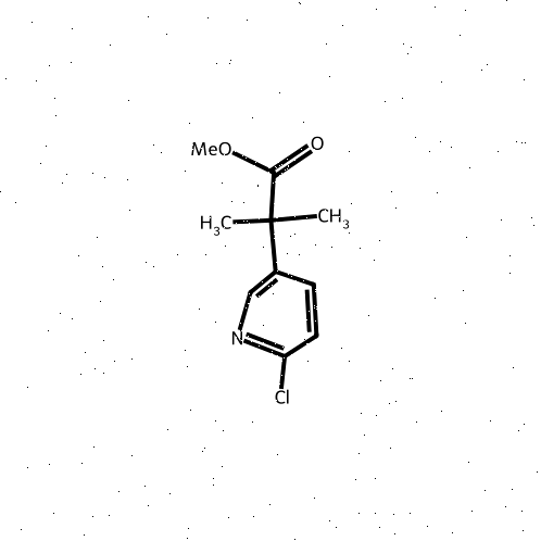 COC(=O)C(C)(C)c1ccc(Cl)nc1